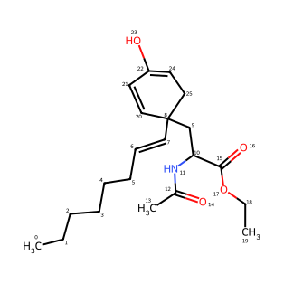 CCCCCCC=CC1(CC(NC(C)=O)C(=O)OCC)C=CC(O)=CC1